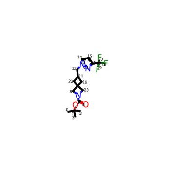 CC(C)(C)OC(=O)N1CC2(CC(Cn3ccc(C(F)(F)F)n3)C2)C1